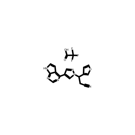 N#CCC(c1ccoc1)n1cc(-c2ncnc3[nH]ccc23)cn1.O=C(O)C(F)(F)F